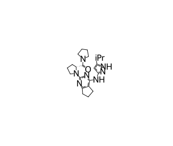 CC(C)c1cc(Nc2nc(N3CCC[C@@H]3C(=O)N3CCCC3)nc3c2CCC3)n[nH]1